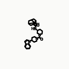 O=C(N1CCC(n2ccc3ccccc32)CC1)N1CCC[C@H](NC(=O)C23CC4CC(C2)C(O)C(C4)C3)C1